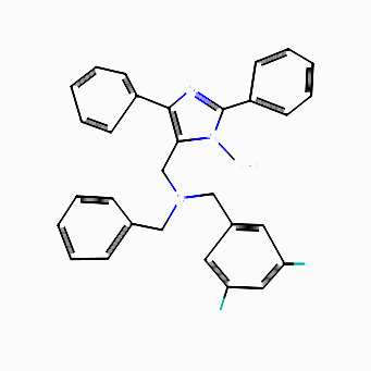 CCCCn1c(-c2ccccc2)nc(-c2ccccc2)c1CN(Cc1ccccc1)Cc1cc(F)cc(F)c1